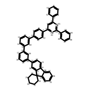 c1ccc(-c2cc(-c3ccc(-c4cccc(-c5cccc(-c6ccc7c(c6)C6(CCCCC6)c6ccccc6-7)c5)c4)cc3)nc(-c3ccccc3)n2)cc1